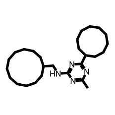 Cc1nc(NCC2CCCCCCCCCCC2)nc(C2CCCCCCCCC2)n1